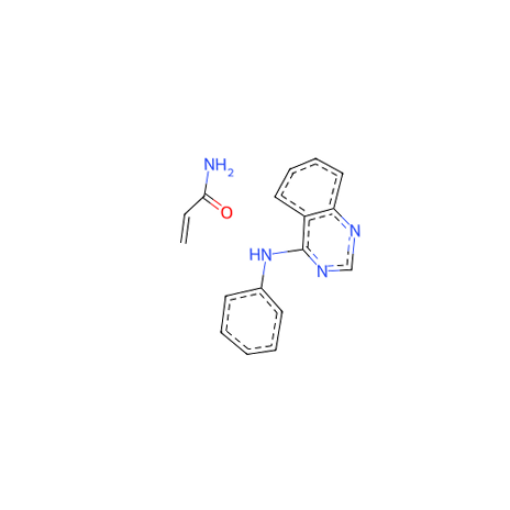 C=CC(N)=O.c1ccc(Nc2ncnc3ccccc23)cc1